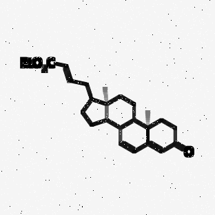 CCOC(=O)/C=C/CC1CCC2C3C=CC4=CC(=O)CC[C@]4(C)C3CC[C@]12C